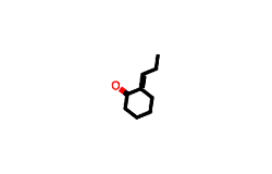 CCC=C1CCCCC1=O